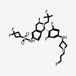 C[C@@H]1Cc2cc(NS(=O)(=O)C3CC(F)(F)C3)ccc2[C@@H](c2c(F)cc(NC3CN(CCCF)C3)cc2F)N1CC(C)(C)F